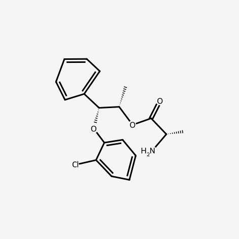 C[C@H](N)C(=O)O[C@@H](C)[C@H](Oc1ccccc1Cl)c1ccccc1